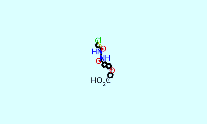 O=C(NCCNC(=O)C1CC=C(Cl)S1)c1ccc2cc(O[C@H]3CC[C@@H](C(=O)O)CC3)ccc2c1